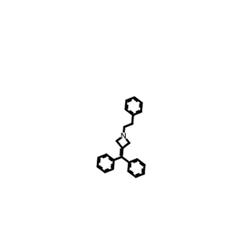 c1ccc(CCN2CC(=C(c3ccccc3)c3ccccc3)C2)cc1